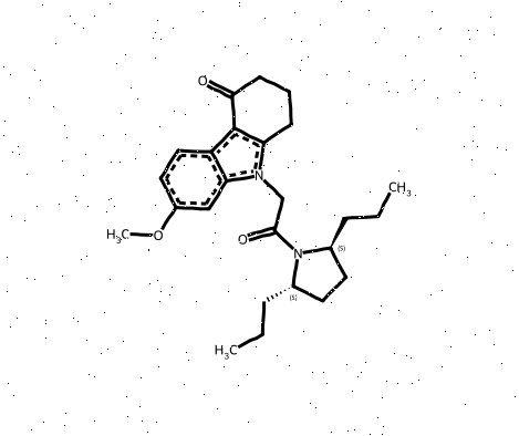 CCC[C@H]1CC[C@H](CCC)N1C(=O)Cn1c2c(c3ccc(OC)cc31)C(=O)CCC2